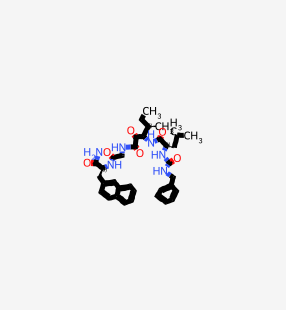 CC[C@H](C)C(NC(=O)[C@H](CC(C)C)NC(=O)NCc1ccccc1)C(=O)C(=O)NCC(=O)N[C@@H](Cc1ccc2ccccc2c1)C(N)=O